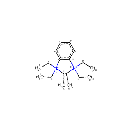 CC[N+](CC)(CC)c1ccccc1[N+](CC)(CC)CC